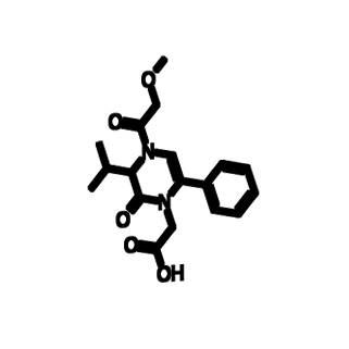 COCC(=O)N1C=C(c2ccccc2)N(CC(=O)O)C(=O)C1C(C)C